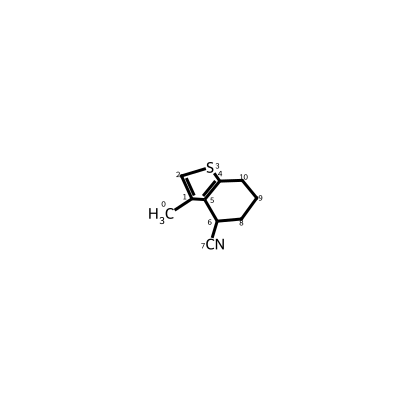 Cc1csc2c1C(C#N)CCC2